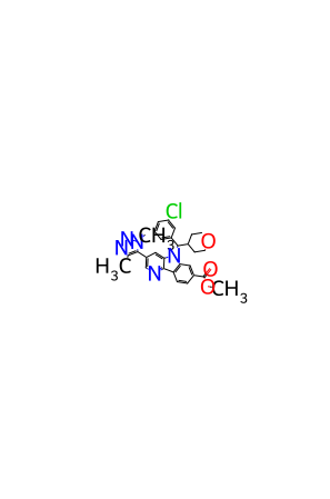 COC(=O)c1ccc2c3ncc(-c4c(C)nnn4C)cc3n(C(c3cccc(Cl)c3)C3CCOCC3)c2c1